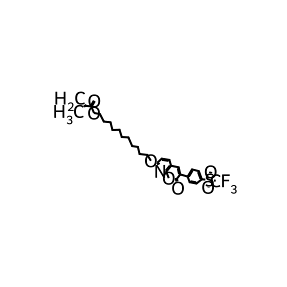 C=C(C)C(=O)OCCCCCCCCCCCOc1ccc2cc(-c3ccc(S(=O)(=O)C(F)(F)F)cc3)c(=O)oc2n1